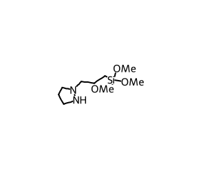 CO[Si](CCCN1CCCN1)(OC)OC